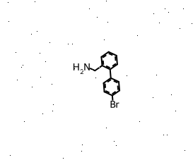 NCc1ccccc1-c1ccc(Br)cc1